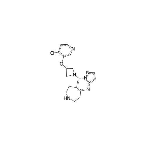 Clc1ccncc1OC1CN(c2c3c(nc4ccnn24)CCNCC3)C1